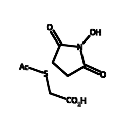 CC(=O)SCC(=O)O.O=C1CCC(=O)N1O